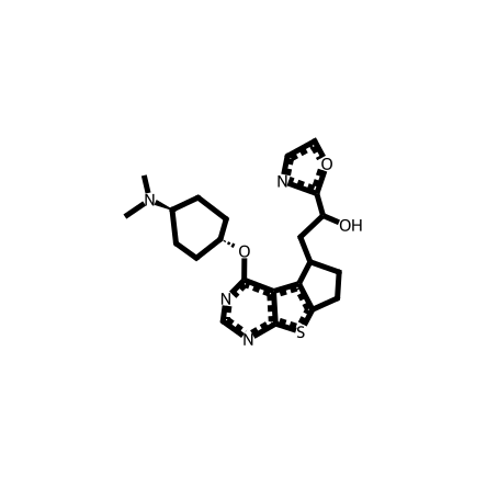 CN(C)[C@H]1CC[C@H](Oc2ncnc3sc4c(c23)C(CC(O)c2ncco2)CC4)CC1